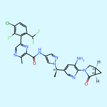 Cc1ncc(-c2c(C(F)F)ccc(Cl)c2F)nc1C(=O)Nc1cnn([C@H](C)c2cnc(N3C[C@H]4C[C@H]4C3=O)c(N)c2)c1